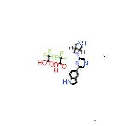 O=C(O)C(F)(F)F.O=C(O)C(F)(F)F.c1cc2cc(-c3cncc(N4C[C@H]5CNC[C@@H]54)n3)ccc2[nH]1